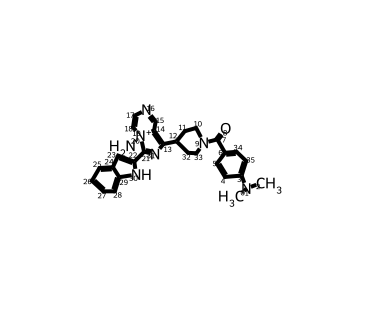 CN(C)c1ccc(C(=O)N2CCC(C3=C4C=NC=C[N+]4(N)C(c4cc5ccccc5[nH]4)=N3)CC2)cc1